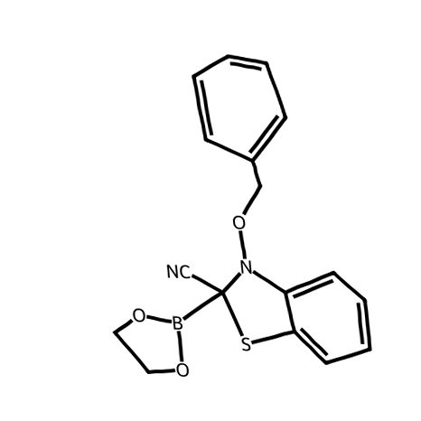 N#CC1(B2OCCO2)Sc2ccccc2N1OCc1ccccc1